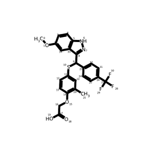 COc1ccc2[nH]nc(C(Sc3ccc(OCC(=O)O)c(C)c3)c3ccc(C(F)(F)F)cc3)c2c1